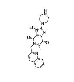 CCn1c(N2CCNCC2)nc2c(=O)n(C)n(Cc3ccc4ccccc4n3)c(=O)c21